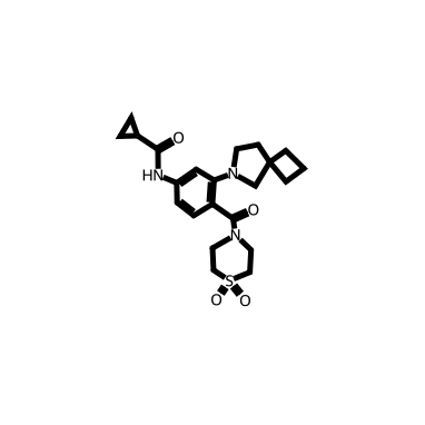 O=C(Nc1ccc(C(=O)N2CCS(=O)(=O)CC2)c(N2CCC3(CCC3)C2)c1)C1CC1